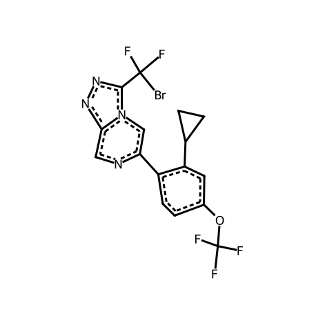 FC(F)(F)Oc1ccc(-c2cn3c(C(F)(F)Br)nnc3cn2)c(C2CC2)c1